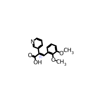 COc1cccc(/C=C(/C(=O)O)c2cccnc2)c1OC